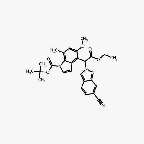 CCOC(=O)C(c1c(OC)cc(C)c2c1ccn2C(=O)OC(C)(C)C)n1cc2ccc(C#N)cc2n1